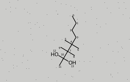 CCCCC(C)(C)C(C)(C)C(C)(O)O